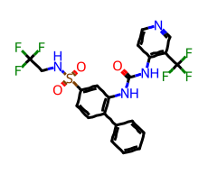 O=C(Nc1cc(S(=O)(=O)NCC(F)(F)F)ccc1-c1ccccc1)Nc1ccncc1C(F)(F)F